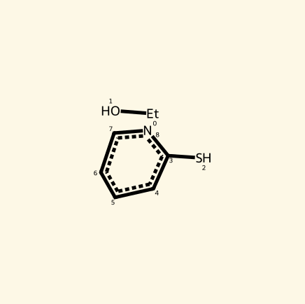 CCO.Sc1ccccn1